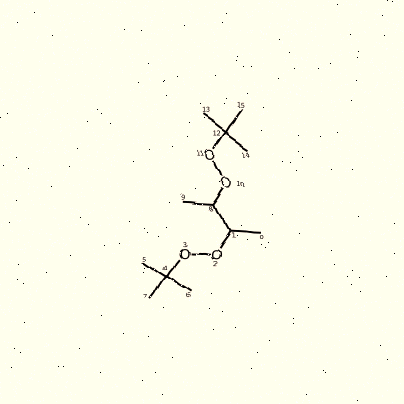 CC(OOC(C)(C)C)C(C)OOC(C)(C)C